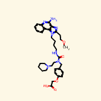 COCCc1nc2c(N)nc3ccccc3c2n1CCCCNC(=O)N(CCN1CCCCC1)Cc1ccc(OCC(=O)O)cc1